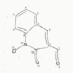 O=Cc1cc2ccccc2n(Cl)c1=O